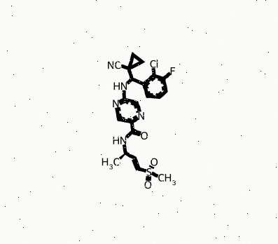 C[C@H](/C=C/S(C)(=O)=O)NC(=O)c1cnc(NC(c2cccc(F)c2Cl)C2(C#N)CC2)cn1